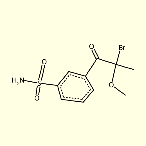 COC(C)(Br)C(=O)c1cccc(S(N)(=O)=O)c1